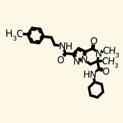 Cc1ccc(CCNC(=O)c2cc3n(n2)CC(C)(C(=O)NC2CCCCC2)N(C)C3=O)cc1